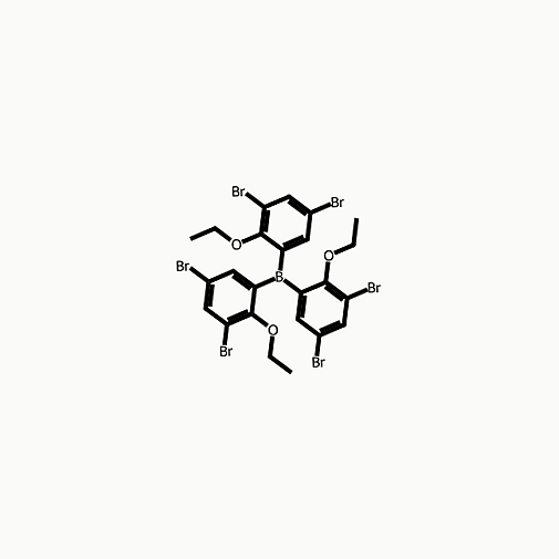 CCOc1c(Br)cc(Br)cc1B(c1cc(Br)cc(Br)c1OCC)c1cc(Br)cc(Br)c1OCC